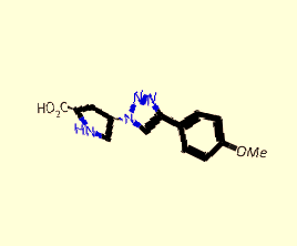 COc1ccc(-c2cn([C@@H]3CN[C@H](C(=O)O)C3)nn2)cc1